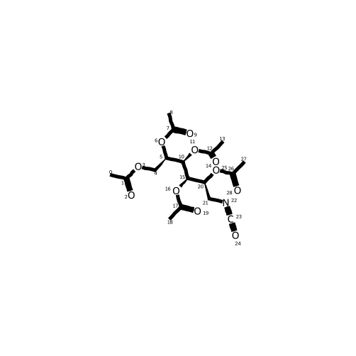 CC(=O)OC[C@@H](OC(C)=O)[C@@H](OC(C)=O)[C@H](OC(C)=O)[C@H](CN=C=O)OC(C)=O